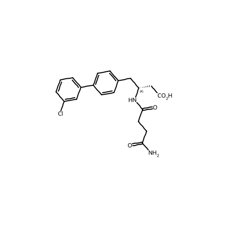 NC(=O)CCC(=O)N[C@@H](CC(=O)O)Cc1ccc(-c2cccc(Cl)c2)cc1